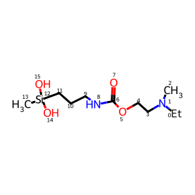 CCN(C)CCOC(=O)NCCC[Si](C)(O)O